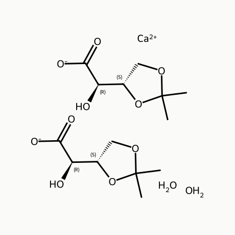 CC1(C)OC[C@@H]([C@@H](O)C(=O)[O-])O1.CC1(C)OC[C@@H]([C@@H](O)C(=O)[O-])O1.O.O.[Ca+2]